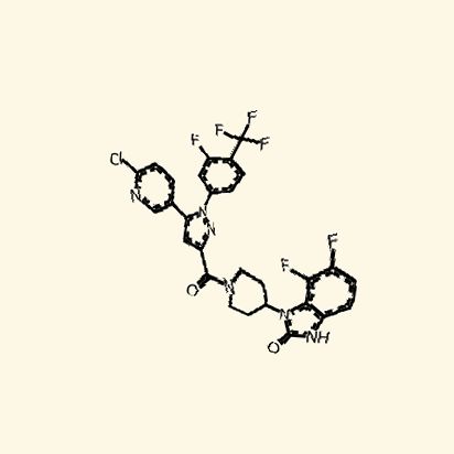 O=C(c1cc(-c2ccc(Cl)nc2)n(-c2ccc(C(F)(F)F)c(F)c2)n1)N1CCC(n2c(=O)[nH]c3ccc(F)c(F)c32)CC1